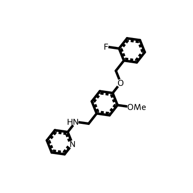 COc1cc(CNc2ccccn2)ccc1OCc1ccccc1F